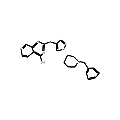 Oc1nc(Oc2cnn([C@H]3CCCN(Cc4ccccc4)C3)c2)nc2cnccc12